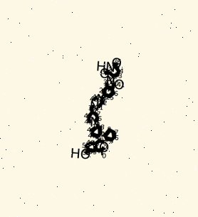 C[C@@H]1O[C@@H](c2ccccc2)[C@@H](c2ccc(N3CCC(CN4CCN(c5ccc6c(c5)CN([C@H]5CCC(=O)NC5=O)C6=O)CC4)CC3)cc2)c2ccc(O)cc21